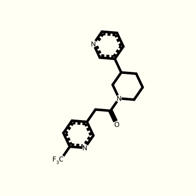 O=C(Cc1ccc(C(F)(F)F)nc1)N1CCCC(c2cccnc2)C1